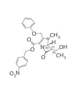 C[C@@H](O)[C@H]1C(=O)N2C(C(=O)OCc3ccc([N+](=O)[O-])cc3)=C(COc3ccccc3)[C@H](C)[C@H]12